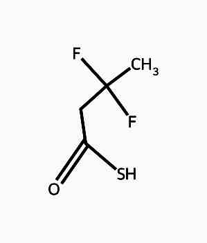 CC(F)(F)CC(=O)S